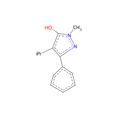 CC(C)c1c(-c2ccccc2)nn(C)c1O